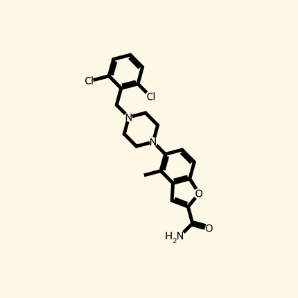 Cc1c(N2CCN(Cc3c(Cl)cccc3Cl)CC2)ccc2oc(C(N)=O)cc12